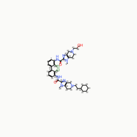 Cn1c(C(=O)Nc2cccc(-c3cccc(NC(=O)c4nc5c(n4C)CCN(CCC4CCCCC4)C5)c3Cl)c2Cl)nc2c1CCN(CCO)C2